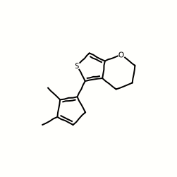 CC1=CCC(c2scc3c2CCCO3)=C1C